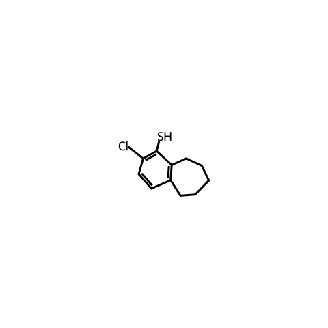 Sc1c(Cl)ccc2c1CCCCC2